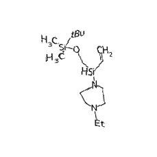 C=C[SiH](CO[Si](C)(C)C(C)(C)C)N1CCN(CC)CC1